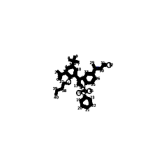 C=C(C)c1cc(C(C)(C)C)cc(-c2cn(S(=O)(=O)c3ccccc3)c3ccc(/C(C)=C/C=O)cc23)c1OCCCC